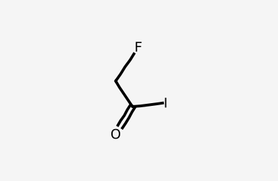 O=C(I)CF